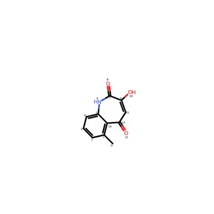 Cc1cccc2[nH]c(=O)c(O)cc(=O)c12